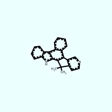 CC1(C)c2ccncc2-c2c1c1[nH]c3ccccc3c1c1ccccc21